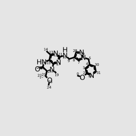 COc1cc(Cn2cc(CNc3nc(C)c4c(n3)N(C)[C@@H]([C@@H](C)OC)C(=O)N4)cn2)ccn1